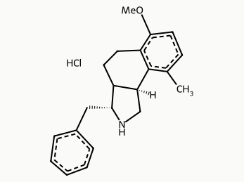 COc1ccc(C)c2c1CCC1[C@@H]2CN[C@@H]1Cc1ccccc1.Cl